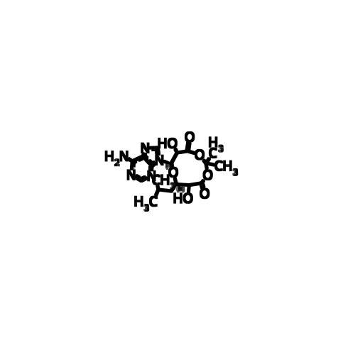 CC(C)C[C@H]1O[C@@H](n2cnc3c(N)ncnc32)C(O)C(=O)OC(C)(C)OC(=O)C1O